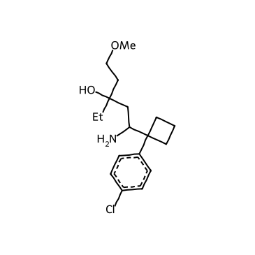 CCC(O)(CCOC)CC(N)C1(c2ccc(Cl)cc2)CCC1